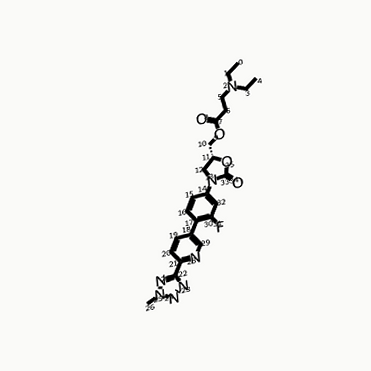 CCN(CC)CCC(=O)OC[C@H]1CN(c2ccc(-c3ccc(-c4nnn(C)n4)nc3)c(F)c2)C(=O)O1